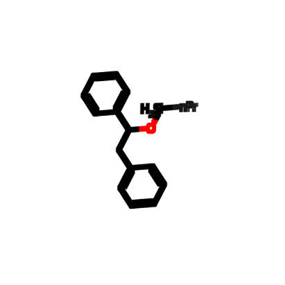 CCC[SiH2]OC(Cc1ccccc1)c1ccccc1